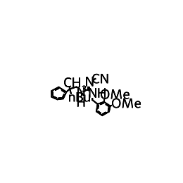 CCCCC(C)(CN/C(=N/C#N)NCc1cccc(OC)c1OC)c1ccccc1